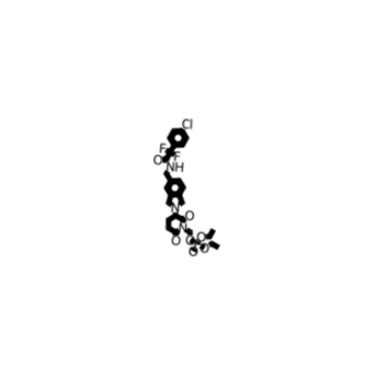 CCOP(=O)(OCC)OCN1C(=O)CCC(N2Cc3ccc(CNC(=O)C(F)(F)c4ccc(Cl)cc4)cc3C2)C1=O